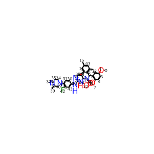 COc1ccc(OC)c(C(c2c(C)cc(C)cc2C)N(C(=O)O)c2ccnc(Nc3ccc(N4CCN(C)C(C)C4)c(F)c3)n2)c1